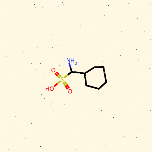 NC(C1CCCCC1)S(=O)(=O)O